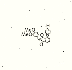 COc1ccc(CN2C(=O)c3cccc(N4CCNCC4)c3C2=O)cc1OC